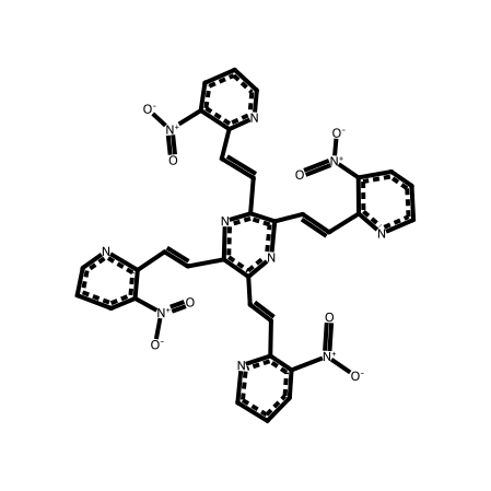 O=[N+]([O-])c1cccnc1C=Cc1nc(C=Cc2ncccc2[N+](=O)[O-])c(C=Cc2ncccc2[N+](=O)[O-])nc1C=Cc1ncccc1[N+](=O)[O-]